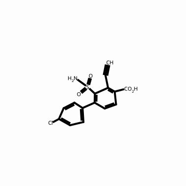 C#Cc1c(C(=O)O)ccc(-c2ccc(Cl)cc2)c1S(N)(=O)=O